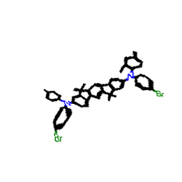 CC1=CC=C(N(c2ccc(Br)cc2)c2ccc3c(c2)C(C)(C)c2cc4c(cc2-3)C(C)(C)c2cc(N(c3ccc(C)cc3)c3ccc(Br)cc3)ccc2-4)C(C)C1